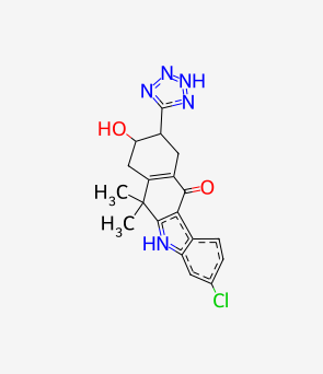 CC1(C)C2=C(CC(c3nn[nH]n3)C(O)C2)C(=O)c2c1[nH]c1cc(Cl)ccc21